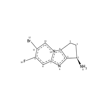 N[C@@H]1CCc2c1nc1cc(F)c(Br)cn21